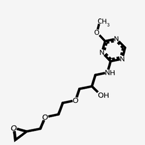 COc1ncnc(NCC(O)COCCOCC2CO2)n1